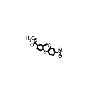 COC(=O)C1=CC2=COC3=C(CCC([N+](=O)[O-])=C3)SC2C=C1